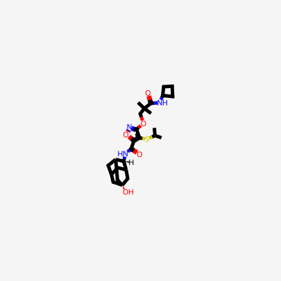 CC(C)Sc1c(OCC(C)(C)C(=O)NC2CCC2)noc1C(=O)N[C@H]1C2CC3CC1C[C@](O)(C3)C2